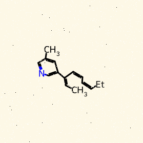 C\C=C(/C=C\C=C/CC)c1cncc(C)c1